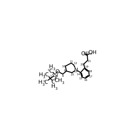 CC(C)(C)[Si](C)(C)OCC1CCCN(c2ccccc2CCC(=O)O)C1